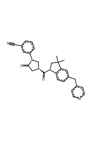 CC1(C)CN(C(=O)[C@H]2CC(=O)N(c3cccc(C#N)c3)C2)c2ccc(Cc3ccncc3)cc21